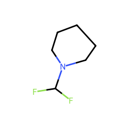 FC(F)N1CCCCC1